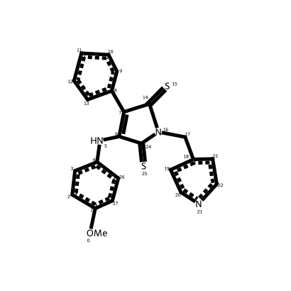 COc1ccc(NC2=C(c3ccccc3)C(=S)N(Cc3ccncc3)C2=S)cc1